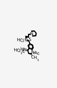 CC(=O)N1c2ccc(-c3ncc(CN4CCCCC4)s3)cc2[C@@H](NC(=O)O)C[C@H]1C.Cl